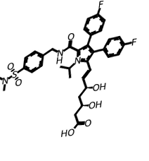 CC(C)n1c(C=C[C@@H](O)C[C@@H](O)CC(=O)O)c(-c2ccc(F)cc2)c(-c2ccc(F)cc2)c1C(=O)NCc1ccc(S(=O)(=O)N(C)C)cc1